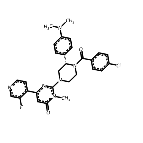 CN(C)c1ccc([C@H]2CN(c3nc(-c4ccncc4F)cc(=O)n3C)CCN2C(=O)c2ccc(Cl)cc2)cc1